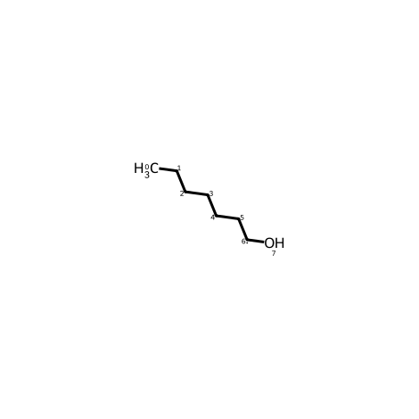 CCCCCC[CH]O